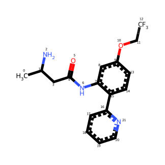 CC(N)CC(=O)Nc1cc(OCC(F)(F)F)ccc1-c1ccccn1